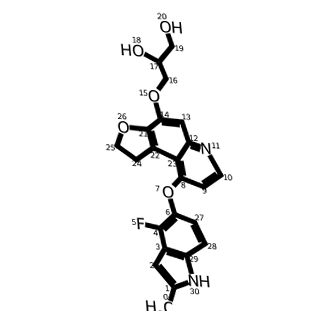 Cc1cc2c(F)c(Oc3ccnc4cc(OCC(O)CO)c5c(c34)CCO5)ccc2[nH]1